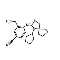 CCc1cc(C#N)ccc1/N=C1/SCC2(CCCC2)N1C1CCCC1